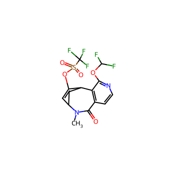 CN1C(=O)c2ccnc(OC(F)F)c2C2CC1C=C2OS(=O)(=O)C(F)(F)F